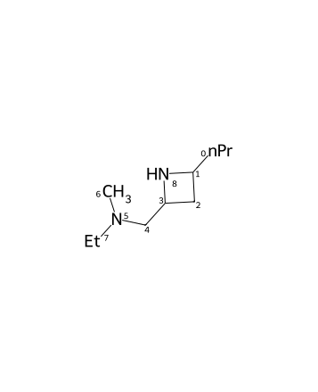 CCCC1CC(CN(C)CC)N1